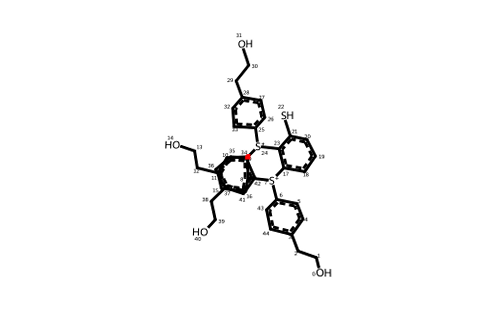 OCCc1ccc([S+](c2ccc(CCO)cc2)c2cccc(S)c2[S+](c2ccc(CCO)cc2)c2ccc(CCO)cc2)cc1